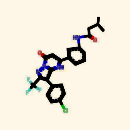 CC(C)CC(=O)Nc1cccc(-c2cc(=O)n3nc(C(F)(F)F)c(-c4ccc(Cl)cc4)c3[nH]2)c1